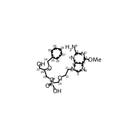 COc1nc(N)nc2c1ncn2CCOCP(=O)(O)OCC(CO)OCc1ccccc1